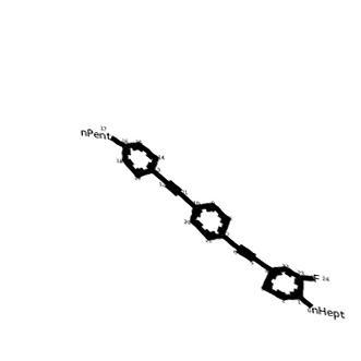 CCCCCCCc1ccc(C#Cc2ccc(C#Cc3ccc(CCCCC)cc3)cc2)cc1F